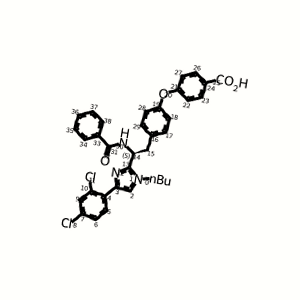 CCCCn1cc(-c2ccc(Cl)cc2Cl)nc1[C@H](Cc1ccc(Oc2ccc(C(=O)O)cc2)cc1)NC(=O)c1ccccc1